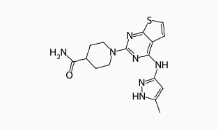 Cc1cc(Nc2nc(N3CCC(C(N)=O)CC3)nc3sccc23)n[nH]1